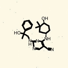 CC(O)(CNc1ncc(C#N)c(N[C@@H]2CC[C@H](O)C(C)(C)C2)n1)c1ccccc1